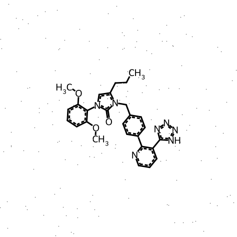 CCCc1cn(-c2c(OC)cccc2OC)c(=O)n1Cc1ccc(-c2ncccc2-c2nnn[nH]2)cc1